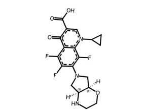 O=C(O)c1cn(C2CC2)c2c(F)c(N3C[C@@H]4NCCO[C@@H]4C3)c(F)c(F)c2c1=O